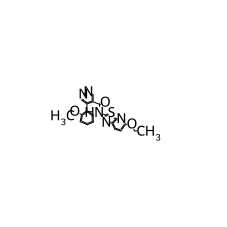 CCOc1ccc2nc(NC(=O)c3cnncc3-c3ccccc3OC)sc2n1